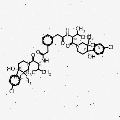 CC(C)[C@H](NC(=O)Cc1cccc(CC(=O)N[C@@H](C(=O)N2CC[C@](O)(c3ccc(Cl)cc3)C(C)(C)C2)C(C)C)c1)C(=O)N1CC[C@](O)(c2ccc(Cl)cc2)C(C)(C)C1